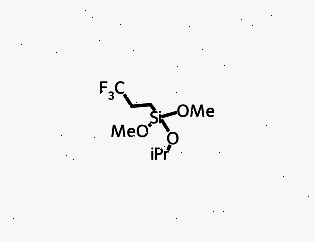 CO[Si](CCC(F)(F)F)(OC)OC(C)C